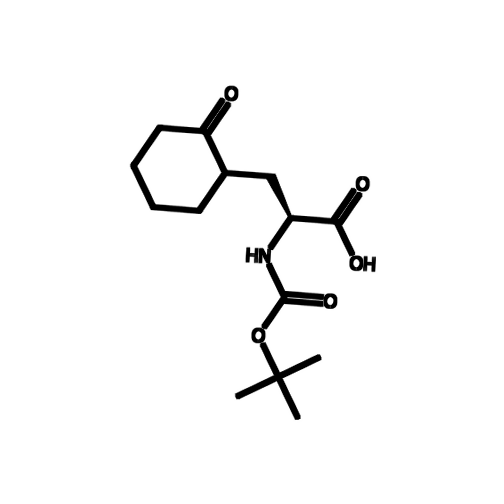 CC(C)(C)OC(=O)N[C@@H](CC1CCCCC1=O)C(=O)O